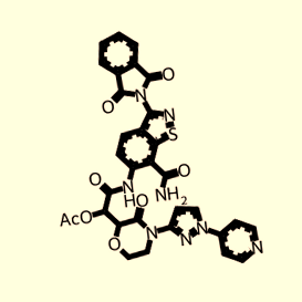 CC(=O)OC(C(=O)Nc1ccc2c(N3C(=O)c4ccccc4C3=O)nsc2c1C(N)=O)C1OCCN(c2ccn(-c3ccncc3)n2)C1=O